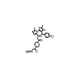 Cc1sc2c(c1C)C(c1ccc(Cl)cc1)=N[C@@H](CC(=O)N1CCN(C(=O)CN=[N+]=[N-])CC1)c1nnc(C)n1-2